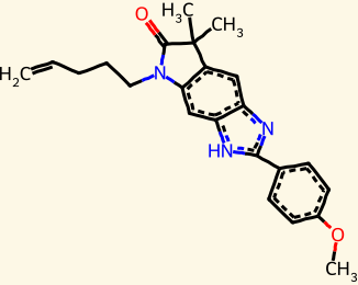 C=CCCCN1C(=O)C(C)(C)c2cc3nc(-c4ccc(OC)cc4)[nH]c3cc21